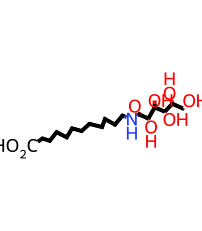 O=C(O)CCCCCCCCCCCNC(=O)C(O)C(O)C(O)C(O)CO